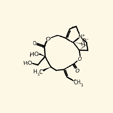 C/C=C1/C[C@@H](C)[C@](O)(CO)C(=O)OCC2=CC[N@@+]3([O-])CC[C@@H](OC1=O)[C@@H]23